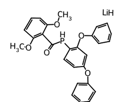 COc1cccc(OC)c1C(=O)Pc1ccc(Oc2ccccc2)cc1Oc1ccccc1.[LiH]